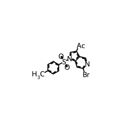 CC(=O)c1cn(S(=O)(=O)c2ccc(C)cc2)c2cc(Br)ncc12